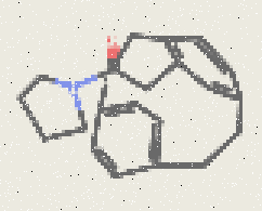 O=C(Cc1cc2ccc1CCc1ccc(cc1)CC2)N1CCCC1